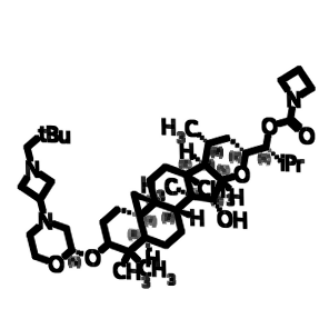 CC(C)[C@@H](OC(=O)N1CCC1)[C@H]1C[C@@H](C)[C@H]2[C@H](O1)[C@H](O)[C@@]1(C)[C@@H]3CC[C@H]4C(C)(C)C(O[C@H]5CN(C6CN(CC(C)(C)C)C6)CCO5)CC[C@@]45C[C@@]35CC[C@]21C